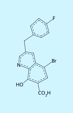 O=C(O)c1cc(Br)c2cc(Cc3ccc(F)cc3)cnc2c1O